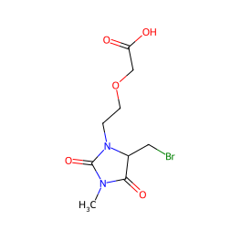 CN1C(=O)C(CBr)N(CCOCC(=O)O)C1=O